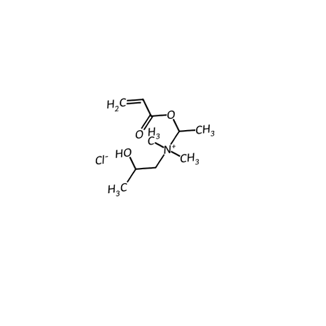 C=CC(=O)OC(C)[N+](C)(C)CC(C)O.[Cl-]